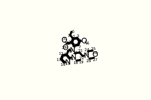 CCc1cc(OC)cc2nc(-c3cccnc3N(CC)CCCN3CCOCC3)oc(=O)c12